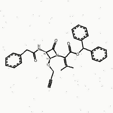 C#CCO[C@H]1[C@@H](NC(=O)Cc2ccccc2)C(=O)N1C(C(=O)OC(c1ccccc1)c1ccccc1)=C(C)C